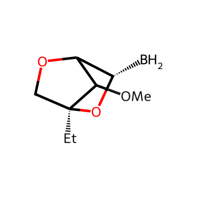 B[C@@H]1O[C@@]2(CC)COC1C2OC